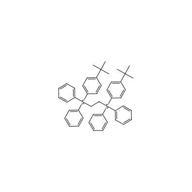 CC(C)(C)c1ccc(S(CCS(c2ccccc2)(c2ccccc2)c2ccc(C(C)(C)C)cc2)(c2ccccc2)c2ccccc2)cc1